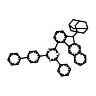 c1ccc(-c2ccc(-c3nc(-c4ccccc4)nc(-c4cccc5c4-c4cc6ccccc6cc4C5C45CC6CC(CC(C6)C4)C5)n3)cc2)cc1